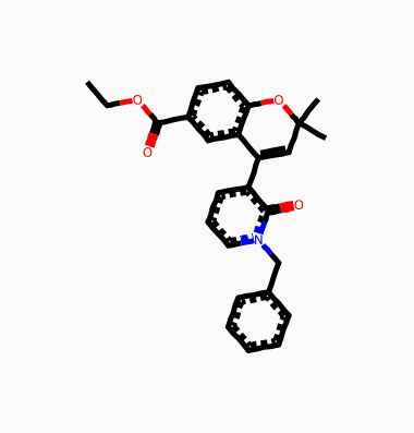 CCOC(=O)c1ccc2c(c1)C(c1cccn(Cc3ccccc3)c1=O)=CC(C)(C)O2